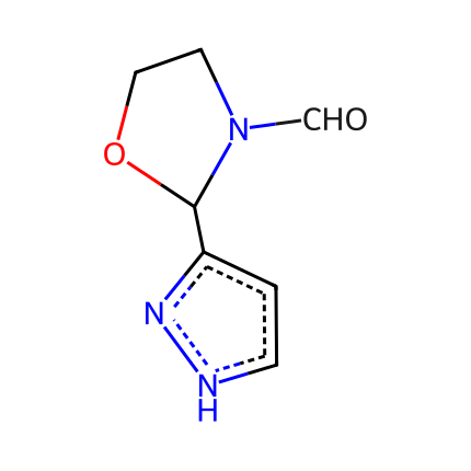 O=CN1CCOC1c1cc[nH]n1